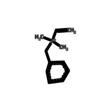 C=C[N+](C)(C)Cc1ccccc1